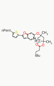 CCCCCc1ccc(-c2cc3ccc(OC(C)(C)CC(C)(C)OC(=O)CCC(C)(C)C)cc3o2)s1